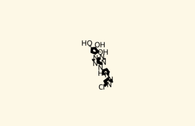 OC[C@H]1C[C@@H](n2cnc3c(N[C@H]4CCN(c5cc(Cl)ncn5)C4)ncnc32)[C@@H](O)[C@H]1O